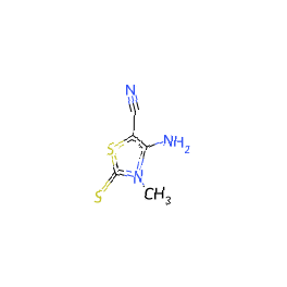 Cn1c(N)c(C#N)sc1=S